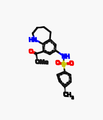 COC(=O)c1cc(NS(=O)(=O)c2ccc(C)cc2)cc2c1NCCCC2